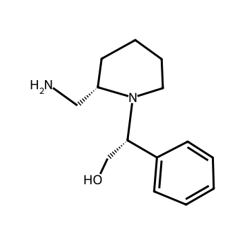 NC[C@@H]1CCCCN1[C@@H](CO)c1ccccc1